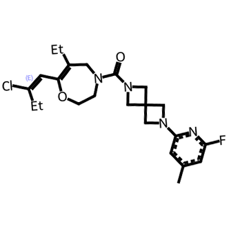 CCC1=C(/C=C(/Cl)CC)OCCN(C(=O)N2CC3(C2)CN(c2cc(C)cc(F)n2)C3)C1